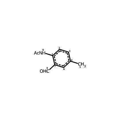 CC(=O)Nc1ccc(C)cc1C=O